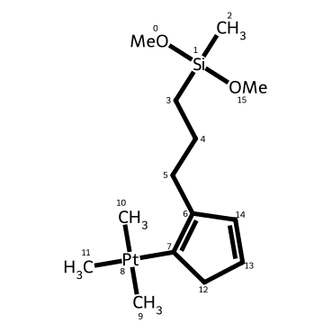 CO[Si](C)(CCCC1=[C]([Pt]([CH3])([CH3])[CH3])CC=C1)OC